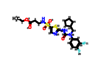 CCOC(=O)CCNS(=O)(=O)c1cnc(NC(=O)N(CC2CCCC2)c2ccc(F)c(F)c2)s1